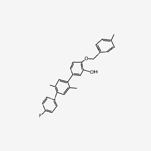 Cc1ccc(COc2ccc(-c3cc(C)c(-c4ccc(F)cc4)cc3C)cc2O)cc1